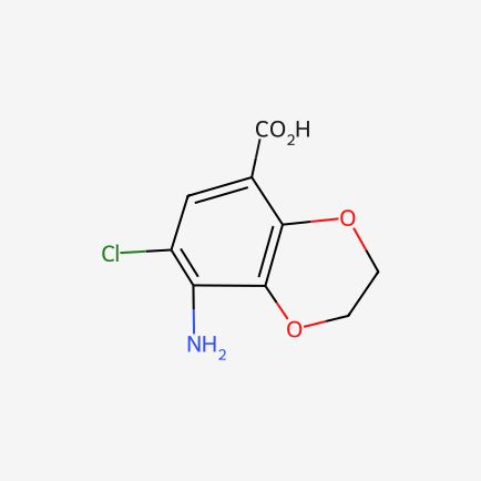 Nc1c(Cl)cc(C(=O)O)c2c1OCCO2